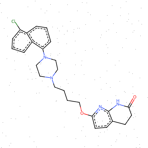 O=C1CCc2ccc(OCCCCN3CCN(c4cccc5c(Cl)cccc45)CC3)nc2N1